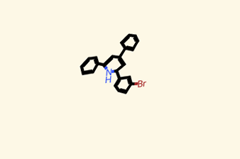 Brc1cccc(C2C=C(c3ccccc3)C=C(c3ccccc3)N2)c1